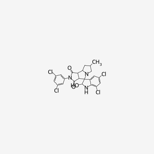 CC1CC2C3C(=O)N(c4cc(Cl)cc(Cl)c4)C(=O)C3C3(c4cc(Cl)cc(Cl)c4NC3O)N2C1